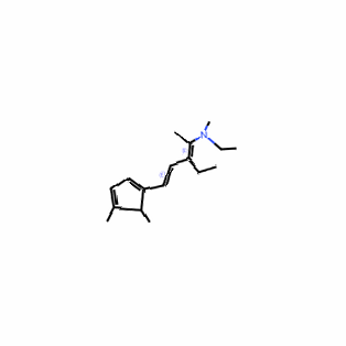 CCC(/C=C/C1=CC=C(C)C1C)=C(/C)N(C)CC